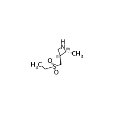 CCS(=O)(=O)C[C@H]1CN[C@@H]1C